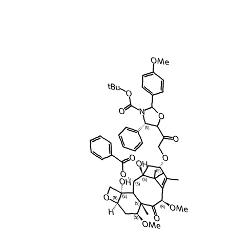 COc1ccc(C2OC(C(=O)CO[C@H]3C[C@@]4(O)[C@@H](OC(=O)c5ccccc5)C5[C@]6(O)CO[C@@H]6C[C@H](OC)[C@@]5(C)C(=O)[C@H](OC)C(=C3C)C4(C)C)[C@H](c3ccccc3)N2C(=O)OC(C)(C)C)cc1